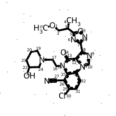 COCC(C)c1nc(-c2ncn3c2c(=O)n(CCN2CCCC(O)C2)c2c(C#N)c(Cl)ccc23)no1